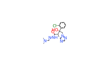 CC(C(=O)NN=CN(C)C)C(O)(Cn1cncn1)c1ccccc1Cl